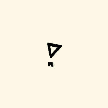 C1CC1.[Pt]